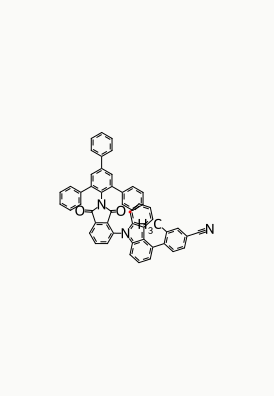 Cc1cc(C#N)ccc1-c1cccc2c1c1ccccc1n2-c1cccc2c1C(=O)N(c1c(-c3ccccc3)cc(-c3ccccc3)cc1-c1ccccc1)C2=O